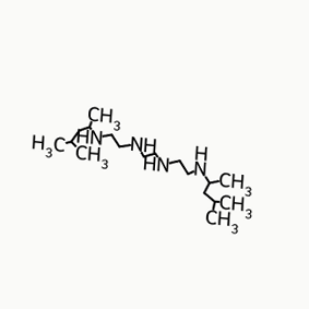 CC(C)CC(C)NCCNCCNCCNC(C)CC(C)C